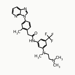 Cc1cc(-n2cnc3cccnc32)ccc1CC(=O)Nc1cc(N(C)CCN(C)C)cc(C(F)(F)F)c1